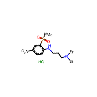 CCN(CC)CCCNc1ccc([N+](=O)[O-])cc1S(=O)(=O)NC.Cl